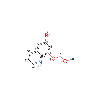 COCOc1cc(Br)cc2cccnc12